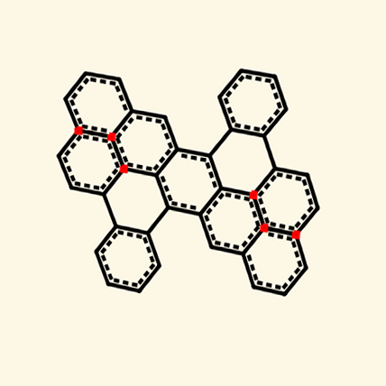 c1ccc(-c2ccccc2-c2c3cc4ccccc4cc3c(-c3ccccc3-c3ccccc3)c3cc4ccccc4cc23)cc1